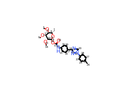 CO[C@@H]1[C@@H](OC)[C@H](C)O[C@@H](OC(=O)Nc2ccc(-c3ncn(-c4ccc(C)cc4)n3)cc2)[C@@H]1OC